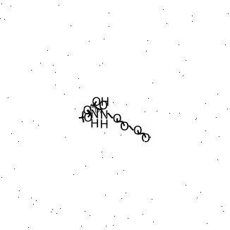 COCCOCCOCCOCCNC(=O)[C@@H](NC(=O)OC(C)(C)C)[C@@H](C)O